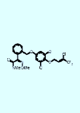 CNC(=O)C(=NOC)c1ccccc1COc1cc(Cl)c(OCC=C(Cl)C(F)(F)F)c(Cl)c1